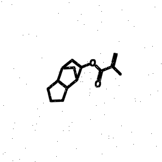 C=C(C)C(=O)OC1CC2CC1C1CCCC21